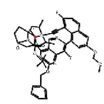 COCOc1cc(-c2ncc3c(N4C[C@H]5CC[C@@H](C4)N5C(=O)OC(C)(C)C)nc(OCc4ccccc4)nc3c2F)c2c(C#C[Si](C(C)C)(C(C)C)C(C)C)c(F)ccc2c1